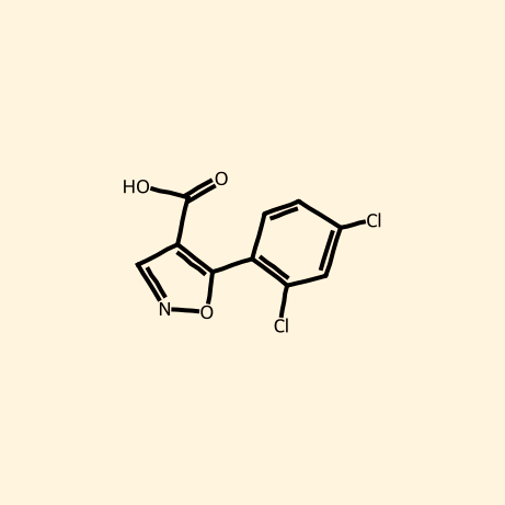 O=C(O)c1cnoc1-c1ccc(Cl)cc1Cl